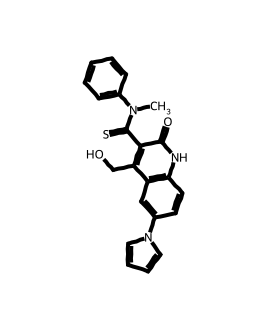 CN(C(=S)c1c(CO)c2cc(-n3cccc3)ccc2[nH]c1=O)c1ccccc1